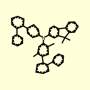 Cc1cc(N(c2ccc(-c3ccccc3-c3ccccc3)cc2)c2ccc3c(c2)C(C)(C)c2ccccc2-3)c(C)cc1-c1ccccc1-c1ccccc1